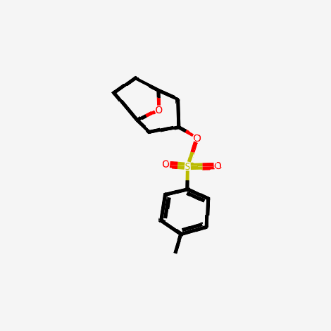 Cc1ccc(S(=O)(=O)OC2CC3CCC(C2)O3)cc1